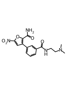 CN(C)CCNC(=O)c1cccc(-c2cc([N+](=O)[O-])oc2C(N)=O)c1